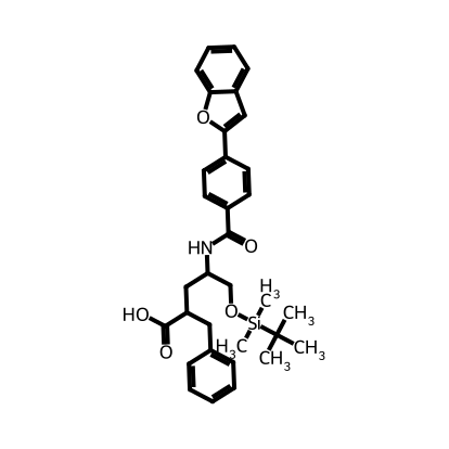 CC(C)(C)[Si](C)(C)OCC(CC(Cc1ccccc1)C(=O)O)NC(=O)c1ccc(-c2cc3ccccc3o2)cc1